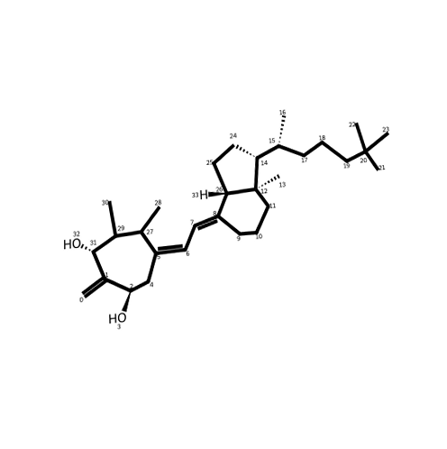 C=C1[C@H](O)C/C(=C/C=C2\CCC[C@]3(C)[C@@H]([C@H](C)CCCC(C)(C)C)CC[C@@H]23)C(C)C(C)[C@H]1O